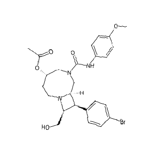 COc1ccc(NC(=O)N2C[C@@H](OC(C)=O)CCN3[C@H](CO)[C@H](c4ccc(Br)cc4)[C@@H]3C2)cc1